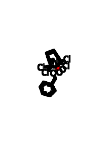 O=C(OCc1ccccc1)N1C2C=CC1C(Cl)(Cl)C(=O)C2(Cl)Cl